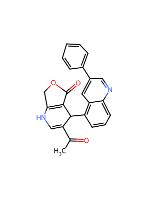 CC(=O)C1=CNC2=C(C(=O)OC2)C1c1cccc2ncc(-c3ccccc3)cc12